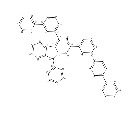 c1ccc(-c2ccc(-c3cccc(-c4nc(-c5cccc(-c6ccccc6)c5)c5c6ccccc6n(-c6ccccc6)c5n4)c3)cc2)cc1